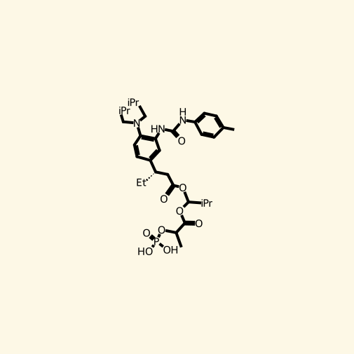 CC[C@@H](CC(=O)OC(OC(=O)C(C)OP(=O)(O)O)C(C)C)c1ccc(N(CC(C)C)CC(C)C)c(NC(=O)Nc2ccc(C)cc2)c1